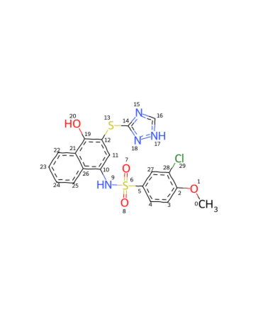 COc1ccc(S(=O)(=O)Nc2cc(Sc3nc[nH]n3)c(O)c3ccccc23)cc1Cl